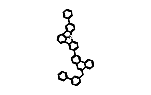 c1ccc(-c2cccc(Cc3cc4ccc(-c5ccc6c(c5)c5cccc7c8cc(-c9ccccc9)ccc8n6c75)cc4c4ccccc34)c2)cc1